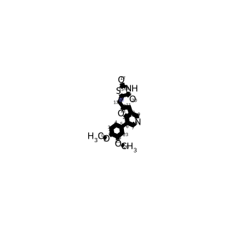 COc1ccc(-c2cncc3cc(/C=C4/SC(=O)NC4=O)oc23)cc1OC